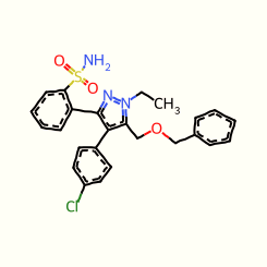 CCn1nc(-c2ccccc2S(N)(=O)=O)c(-c2ccc(Cl)cc2)c1COCc1ccccc1